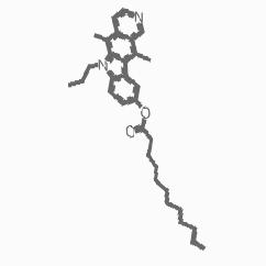 CCCCCCCCCCCC(=O)Oc1ccc2c(c1)c1c(C)c3cnccc3c(C)c1n2CCC